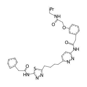 CC(C)CNC(=O)COc1cccc(CC(=O)Nc2ccc(CCCCc3nnc(NC(=O)Cc4ccccc4)s3)nn2)c1